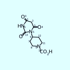 O=C1CC(=O)N(C2CCN(C(=O)O)CC2)C(=O)N1